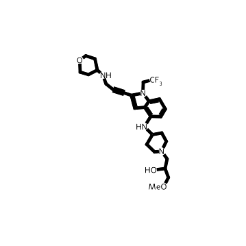 COCC(O)CN1CCC(Nc2cccc3c2cc(C#CCNC2CCOCC2)n3CC(F)(F)F)CC1